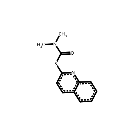 CN(C)C(=O)Sc1ccc2ccccc2n1